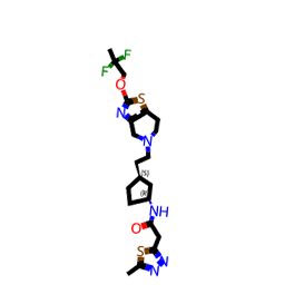 Cc1nnc(CC(=O)N[C@@H]2CC[C@@H](CCN3CCc4sc(OCC(C)(F)F)nc4C3)C2)s1